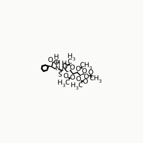 CC(=O)OC[C@@H](OC(C)=O)[C@@H](OC(C)=O)[C@H](OC(C)=O)[C@H](CNC(=S)NCC(C(=O)O)c1ccccc1)OC(C)=O